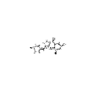 O=c1c2c(nc3c(Br)cc(Br)cn13)C(=Cc1ccc(F)cc1)CC2